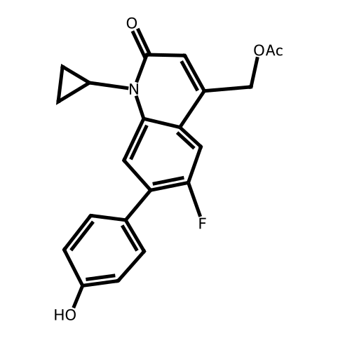 CC(=O)OCc1cc(=O)n(C2CC2)c2cc(-c3ccc(O)cc3)c(F)cc12